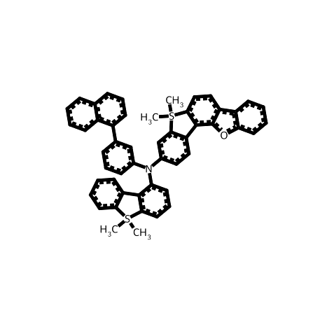 CS1(C)c2ccccc2-c2c(N(c3cccc(-c4cccc5ccccc45)c3)c3ccc4c(c3)S(C)(C)c3ccc5c(oc6ccccc65)c3-4)cccc21